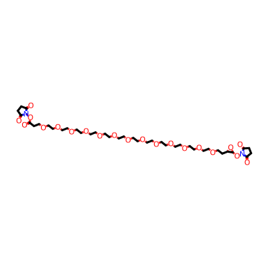 O=C(CCOCCOCCOCCOCCOCCOCCOCCOCCOCCOCCOCCOCCOCCC1OC1ON1C(=O)CCC1=O)ON1C(=O)CCC1=O